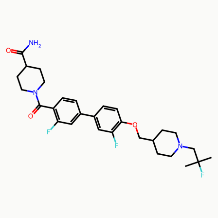 CC(C)(F)CN1CCC(COc2ccc(-c3ccc(C(=O)N4CCC(C(N)=O)CC4)c(F)c3)cc2F)CC1